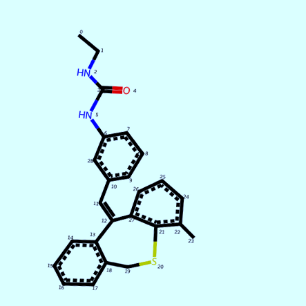 CCNC(=O)Nc1cccc(C=C2c3ccccc3CSc3c(C)cccc32)c1